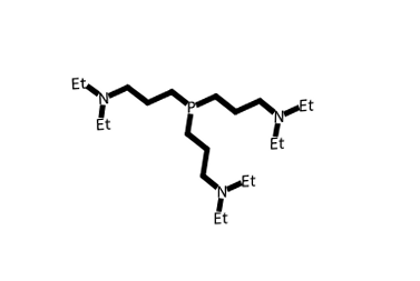 CCN(CC)CCCP(CCCN(CC)CC)CCCN(CC)CC